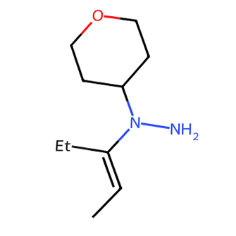 C/C=C(\CC)N(N)C1CCOCC1